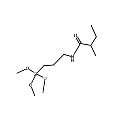 CCC(C)C(=O)NCCC[Si](OC)(OC)OC